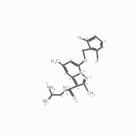 Cc1cc(OCc2c(F)cccc2F)n2nc(C)c(C(=O)NCC(N)C#N)c2c1